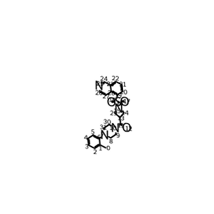 Cc1ccccc1N1CCN(C(=O)C2CN(S(=O)(=O)c3cccc4cnccc34)C2)CC1